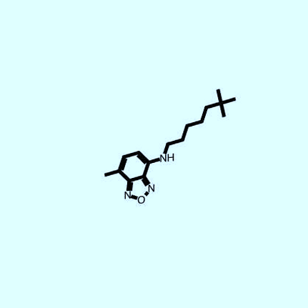 Cc1ccc(NCCCCCC(C)(C)C)c2nonc12